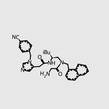 CC[C@H](C)[C@@H](CN(Cc1cccc2ccccc12)C(=O)CN)NC(=O)Cc1cncn1Cc1ccc(C#N)cc1